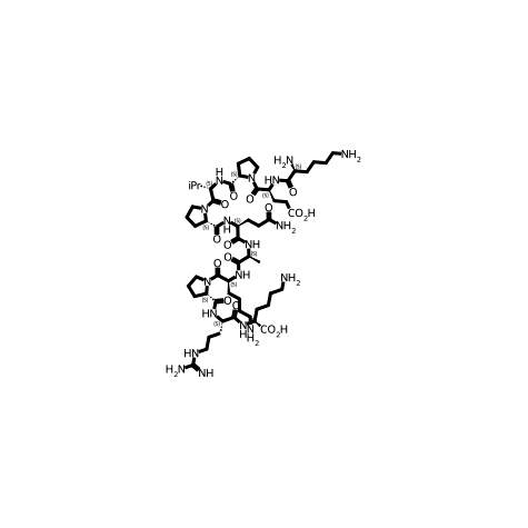 CC(C)[C@H](NC(=O)[C@@H]1CCCN1C(=O)[C@H](CCC(=O)O)NC(=O)[C@@H](N)CCCCN)C(=O)N1CCC[C@H]1C(=O)N[C@@H](CCC(N)=O)C(=O)N[C@@H](C)C(=O)N[C@@H](CCCCN)C(=O)N1CCC[C@H]1C(=O)N[C@@H](CCCNC(=N)N)C(=O)N[C@@H](CCCCN)C(=O)O